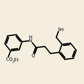 CCOC(=O)c1cccc(NC(=O)CCc2ccccc2CS)c1